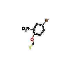 O=[N+]([O-])c1cc(Br)ccc1OC=S